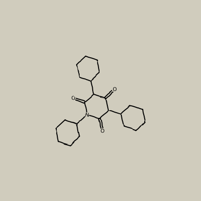 O=C1C(C2CCCCC2)C(=O)N(C2CCCCC2)C(=O)C1C1CCCCC1